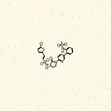 CS(=O)(=O)Nc1ccccc1-c1ccc(N2CC[C@H](NS(=O)(=O)C=Cc3ccc(Cl)s3)C2=O)nc1